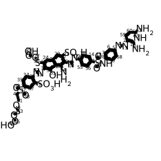 NC1=C(/N=N/c2ccc(NS(=O)(=O)c3ccc(/N=N/c4c(S(=O)(=O)O)cc5cc(SOOO)c(/N=N/c6ccc(S(=O)(=O)CCOSOOO)cc6S(=O)(=O)O)c(O)c5c4N)cc3)cc2)C=CC(N)N1